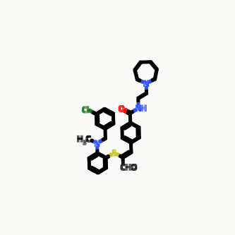 CN(Cc1cccc(Cl)c1)c1ccccc1S/C(C=O)=C\c1ccc(C(=O)NCCN2CCCCCC2)cc1